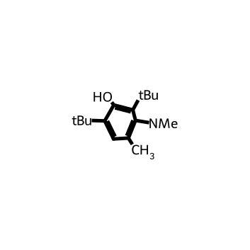 CNc1c(C)cc(C(C)(C)C)c(O)c1C(C)(C)C